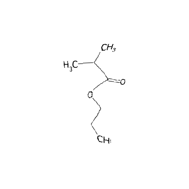 [CH]CCOC(=O)C(C)C